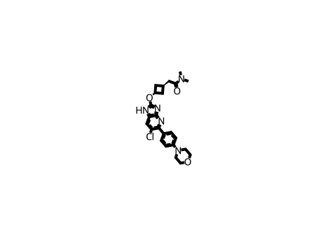 CN(C)C(=O)C[C@H]1C[C@@H](Oc2nc3nc(-c4ccc(N5CCOCC5)cc4)c(Cl)cc3[nH]2)C1